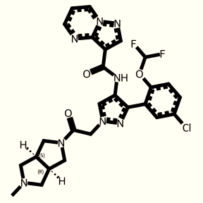 CN1C[C@@H]2CN(C(=O)Cn3cc(NC(=O)c4cnn5cccnc45)c(-c4cc(Cl)ccc4OC(F)F)n3)C[C@@H]2C1